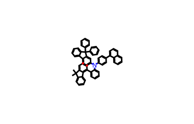 CC1(C)c2ccccc2-c2c(-c3ccccc3N(c3ccc(-c4cccc5ccccc45)cc3)c3ccc4c(c3)C(c3ccccc3)(c3ccccc3)c3ccccc3-4)cccc21